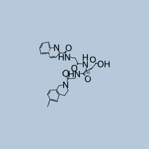 Cc1ccc2c(c1)CCN(C(=O)CNC(=O)[C@H](CC(=O)O)NC(=O)CNC(=O)c1ccc3ccccc3n1)C2